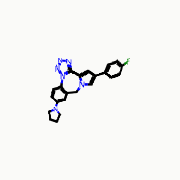 Fc1ccc(-c2cc3n(c2)Cc2cc(N4CCCC4)ccc2-n2nnnc2-3)cc1